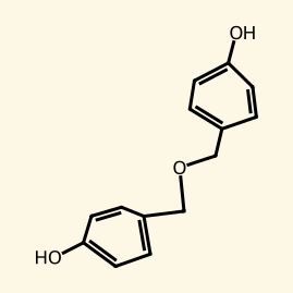 Oc1ccc(COCc2ccc(O)cc2)cc1